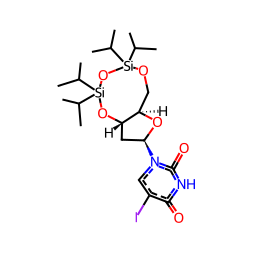 CC(C)[Si]1(C(C)C)OC[C@H]2O[C@@H](n3cc(I)c(=O)[nH]c3=O)C[C@@H]2O[Si](C(C)C)(C(C)C)O1